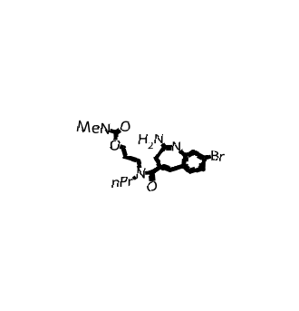 CCCN(CCCOC(=O)NC)C(=O)C1=Cc2ccc(Br)cc2N=C(N)C1